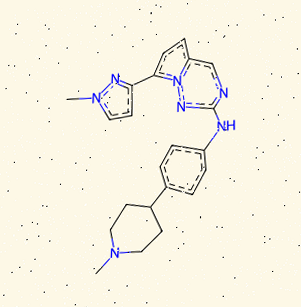 CN1CCC(c2ccc(Nc3ncc4ccc(-c5ccn(C)n5)n4n3)cc2)CC1